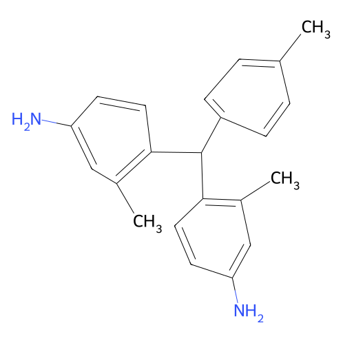 Cc1ccc(C(c2ccc(N)cc2C)c2ccc(N)cc2C)cc1